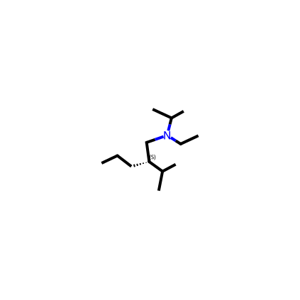 CCC[C@H](CN(CC)C(C)C)C(C)C